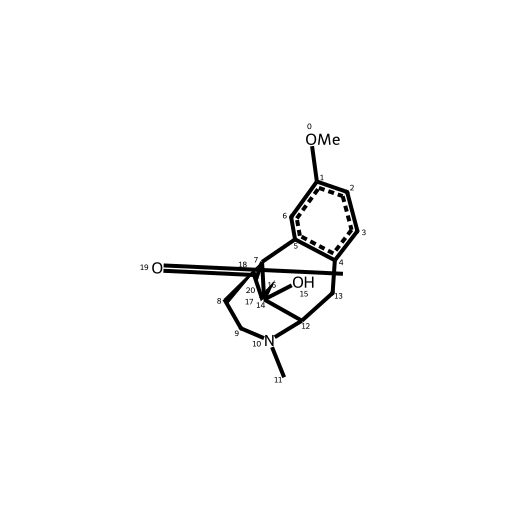 COc1ccc2c(c1)[C@]13CCN(C)C(C2)C1(O)CCC(=O)C3